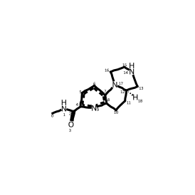 CNC(=O)c1ccc2c(n1)CC[C@@H]1CNCCN21